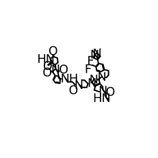 CNC(=O)N1CCc2c(c(N3CCCc4cc(-c5cnn(C)c5)c(C(F)F)cc43)nn2C2CCN(C(=O)CCNc3cccc4c3C(=O)N(C3CCC(=O)NC3=O)C4=O)CC2)C1